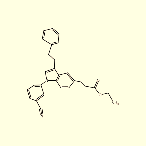 CCOC(=O)CCc1ccc2c(c1)c(CCc1ccccc1)cn2-c1cccc(C#N)c1